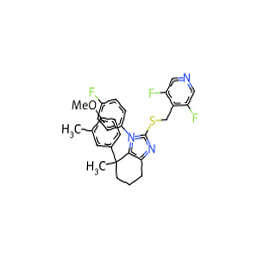 COc1ccc(C2(C)CCCc3nc(SCc4c(F)cncc4F)n(-c4ccc(F)cc4)c32)cc1C